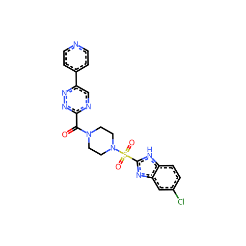 O=C(c1ncc(-c2ccncc2)nn1)N1CCN(S(=O)(=O)c2nc3cc(Cl)ccc3[nH]2)CC1